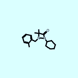 Cc1ccccc1CN1N(C2CCCCC2)C(=O)C1(C)C